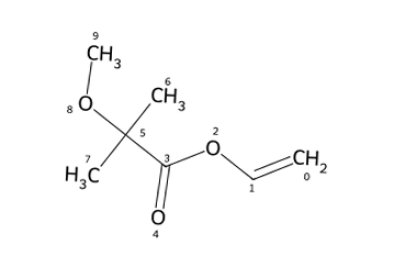 C=COC(=O)C(C)(C)OC